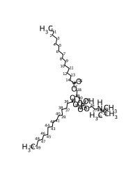 CCCCCCCCCCCCCCCC(=O)OCC(COP(=O)(O)OCCNC(C)(C)C)OC(=O)CCCCCCCCCCCCCCC